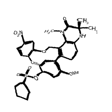 COc1ccc([N+](=O)[O-])cc1OCc1c(-c2ccc(OS(=O)(=O)C3CCCC3)cc2OC)ccc2c1N(C)C(=O)C(C)(C)N2